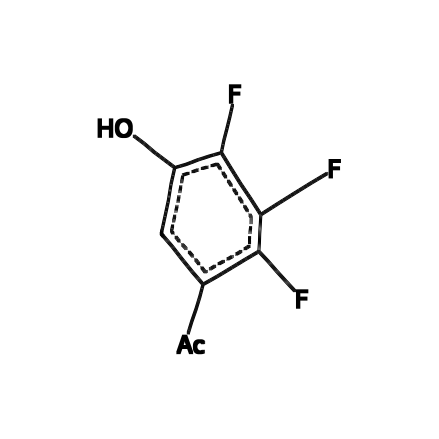 CC(=O)c1cc(O)c(F)c(F)c1F